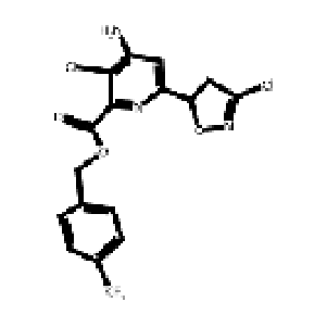 Nc1cc(C2CC(Cl)=NO2)nc(C(=O)OCc2ccc(C(F)(F)F)cc2)c1Cl